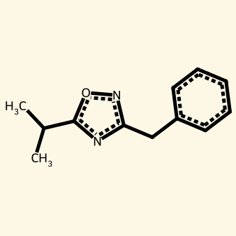 CC(C)c1nc(Cc2ccccc2)no1